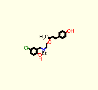 C=C(/C=C/c1ccc(O)cc1)OCCN(CC)Cc1cc(Cl)ccc1O